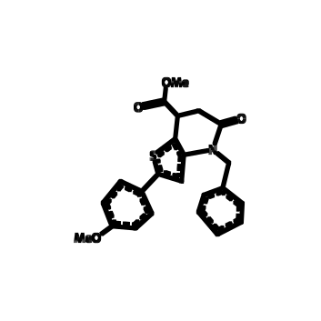 COC(=O)C1CC(=O)N(Cc2ccccc2)c2cc(-c3ccc(OC)cc3)sc21